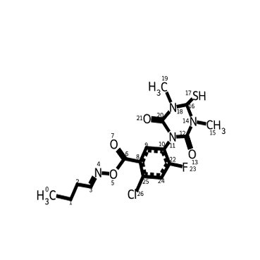 CCCC=NOC(=O)c1cc(N2C(=O)N(C)C(S)N(C)C2=O)c(F)cc1Cl